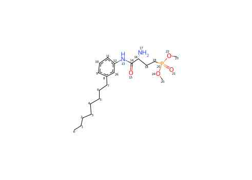 CCCCCCCCc1cccc(NC(=O)[C@H](N)CCP(=O)(OC)OC)c1